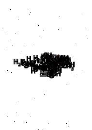 CC[C@H](C)[C@@H]([C@@H](CC(=O)N1CCC[C@H]1[C@H](OC)[C@@H](C)C(=O)N[C@H](C)[C@@H](O)c1ccccc1)OC)N(C)C(=O)[C@@H](NC(=O)[C@H](C(C)C)N(C)C(=O)OCc1cc(NC(=O)CNC(=O)CNC(=O)CNC(=O)CON)ccc1O[C@@H]1OC(C(=O)O)[C@@H](O)C(O)C1O)C(C)C